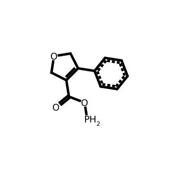 O=C(OP)C1=C(c2ccccc2)COC1